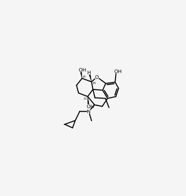 CCCC12c3c4ccc(O)c3O[C@H]1[C@H](O)CC[C@@]2(O)C(N(C)CC1CC1)C4